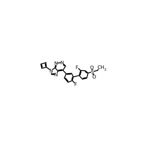 CCS(=O)(=O)c1ccc(-c2cc(-c3cnnc4c3ncn4C3=CC=C3)ccc2F)c(F)c1